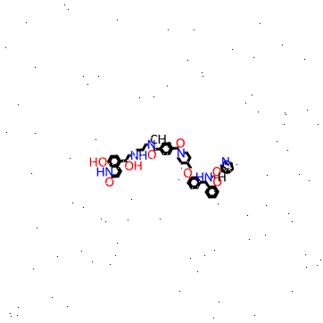 CN(CCCNC[C@H](O)c1ccc(O)c2[nH]c(=O)ccc12)C(=O)c1ccc(C(=O)N2CCC(COc3cccc([C@@H](NC(=O)O[C@H]4CN5CCC4CC5)c4ccccc4)c3)CC2)cc1